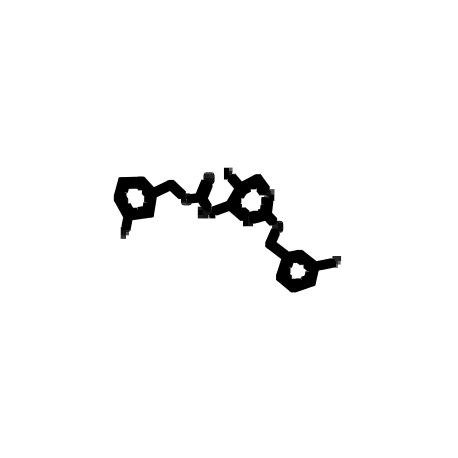 O=C(Nc1nc(OCc2cccc(F)c2)ncc1F)OCc1cccc(F)c1